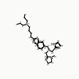 CCCN(CCC)CCCCc1nc2ccc(CN(CC3=NCCN3C)Cc3ncc[nH]3)cc2s1